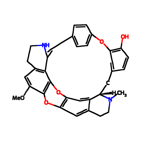 COc1cc2c3c4c1Oc1cc5c(cc1O4)[C@H](Cc1ccc(O)c(c1)Oc1ccc(cc1)/C=C\3NCC2)N(C)CC5